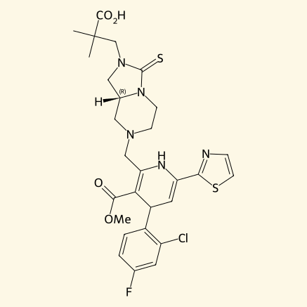 COC(=O)C1=C(CN2CCN3C(=S)N(CC(C)(C)C(=O)O)C[C@H]3C2)NC(c2nccs2)=CC1c1ccc(F)cc1Cl